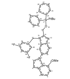 COc1ncnc2ccn(-c3cnc4nc(CO[Si](c5ccccc5)(c5ccccc5)C(C)(C)C)n(Cc5cc(F)cc(F)c5)c4c3)c12